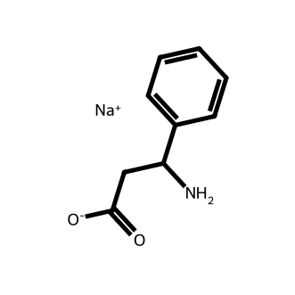 NC(CC(=O)[O-])c1ccccc1.[Na+]